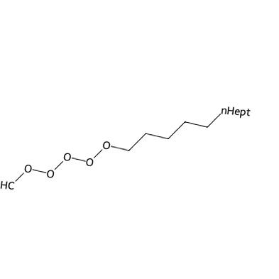 CCCCCCCCCCCCOOOOO[C]=O